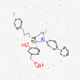 OCc1ccc([C@@H]2[C@H](CCCc3ccc(F)cc3)CC(=S)N2c2ccc(-c3ccccc3)cc2)c(O)c1